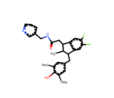 COc1cc(CC2c3cc(F)c(F)cc3C(CC(=O)NCc3cccnc3)C2C)cc(OC)c1O